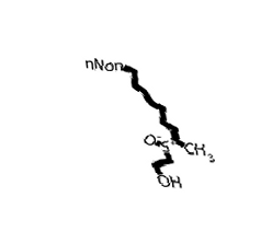 CCCCCCCCCCCCCCCC=C(C)[S+]([O-])CCO